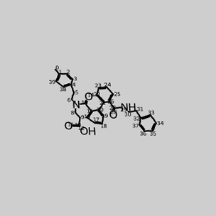 Cc1ccc(CCN(CCC(=O)O)C(=O)c2ccccc2-c2ccccc2C(=O)NCCc2ccccc2)cc1